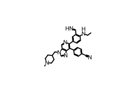 CCNc1ccc(-c2ncc3c(ncn3CC3CCN(C)CC3)c2-c2ccc(C#N)cc2)cc1C=N